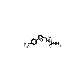 NC(=S)NN=Cc1ccc(-c2ccc(C(F)(F)F)cc2)o1